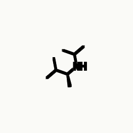 CC(C)N[C@@H](C)C(C)C